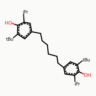 CC(C)c1cc(CCCCCCc2cc(C(C)C)c(O)c(C(C)(C)C)c2)cc(C(C)(C)C)c1O